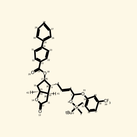 CC(C)(C)[Si](C)(C)OC(C=CC[C@@H]1[C@H]2CC(=O)O[C@H]2C[C@H]1OC(=O)c1ccc(-c2ccccc2)cc1)Oc1cccc(C(F)(F)F)c1